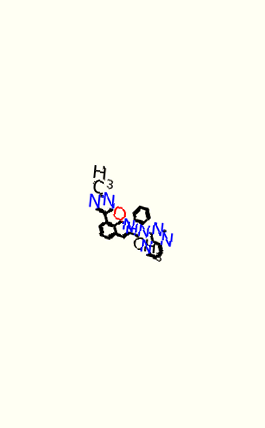 Cc1ncc(-c2cccc3cc([C@H](C)Nc4ncnc5cccnc45)n(-c4ccccc4)c(=O)c23)cn1